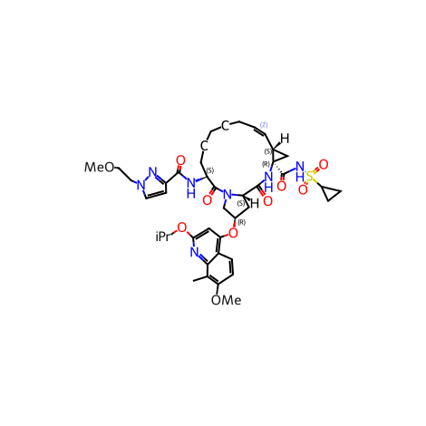 COCCn1ccc(C(=O)N[C@H]2CCCCC/C=C\[C@@H]3C[C@@]3(C(=O)NS(=O)(=O)C3CC3)NC(=O)[C@@H]3C[C@@H](Oc4cc(OC(C)C)nc5c(C)c(OC)ccc45)CN3C2=O)n1